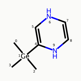 [CH3][Ge]([CH3])([CH3])[C]1=CNC=CN1